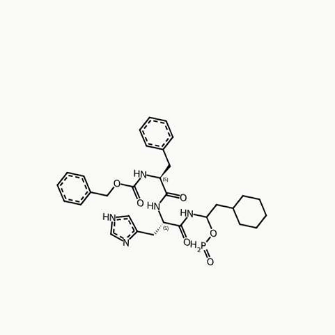 O=[PH2]OC(CC1CCCCC1)NC(=O)[C@H](Cc1c[nH]cn1)NC(=O)[C@H](Cc1ccccc1)NC(=O)OCc1ccccc1